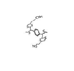 CSC(c1ccc(C(SC)C2SCC(CCO)S2)cc1)C1SCC(CCO)S1